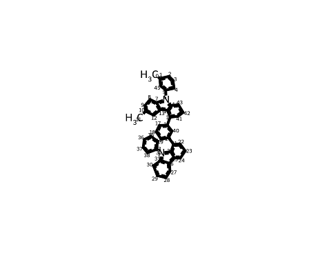 Cc1cccc(-n2c3ccc(C)cc3c3c(-c4cccc(-c5cccc6c7ccccc7n(-c7ccccc7)c56)c4)cccc32)c1